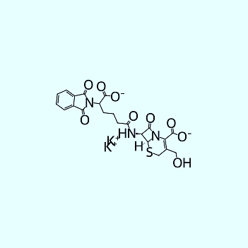 O=C(CCCC(C(=O)[O-])N1C(=O)c2ccccc2C1=O)N[C@H]1C(=O)N2C(C(=O)[O-])=C(CO)CS[C@@H]12.[K+].[K+]